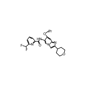 CC(C)Oc1cc2nc(C3CCOCC3)cn2cc1NC(=O)c1cccc(C(F)F)n1